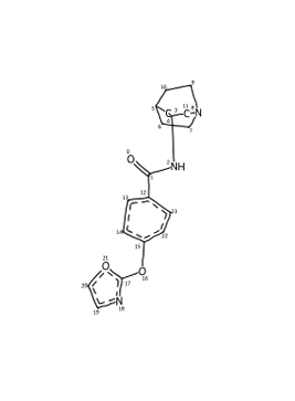 O=C(NC1CC2CCN(CC2)C1)c1ccc(Oc2ncco2)cc1